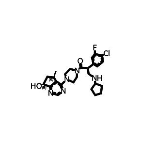 C[C@@H]1C[C@@H](O)c2ncnc(N3CCN(C(=O)C(CNC4CCCC4)c4ccc(Cl)c(F)c4)CC3)c21